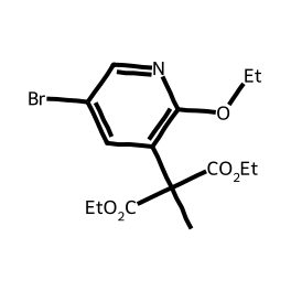 CCOC(=O)C(C)(C(=O)OCC)c1cc(Br)cnc1OCC